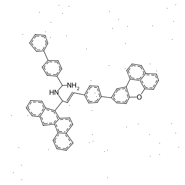 NC(NC(/C=C/c1ccc(-c2ccc3c(c2)-c2cccc4cccc(c24)O3)cc1)c1c2ccccc2cc2c1ccc1ccccc12)c1ccc(-c2ccccc2)cc1